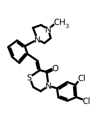 CN1CCN(c2ccccc2C=C2SCCN(c3ccc(Cl)c(Cl)c3)C2=O)CC1